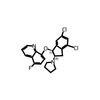 Fc1ccc(O[C@H]2c3cc(Cl)cc(Cl)c3C[C@H]2N2CCCC2)c2ncccc12